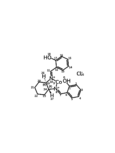 Oc1ccccc1C=[N+]1[Co][N+](=Cc2ccccc2O)[C@@H]2CCCC[C@H]21.[Cl-]